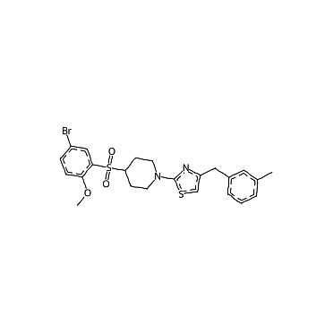 COc1ccc(Br)cc1S(=O)(=O)C1CCN(c2nc(Cc3cccc(C)c3)cs2)CC1